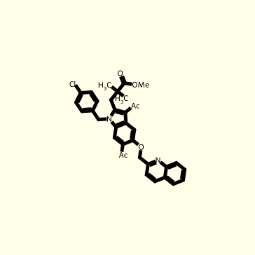 COC(=O)C(C)(C)Cc1c(C(C)=O)c2cc(OCc3ccc4ccccc4n3)c(C(C)=O)cc2n1Cc1ccc(Cl)cc1